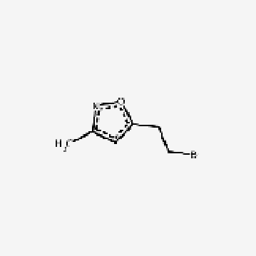 Cc1cc(CCBr)on1